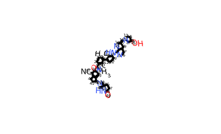 Cc1c(Nc2nccc3cc(CN4CC[C@@H](O)C4)cnc23)cccc1-c1cccc(-c2nc3cc4c(c(C#N)c3o2)CC[C@H]4N2CC3(CCC(=O)N3)C2)c1C